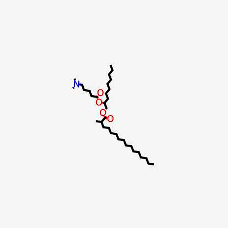 CCCCCCCCCCCCCCC(C)C(=O)OCC(CCCCCCCC)OC(=O)CCCCN(C)C